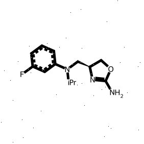 CC(C)N(C[C@H]1COC(N)=N1)c1cccc(F)c1